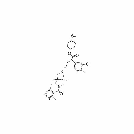 CC(=O)N1CCC(OC(=O)N(CCCN2CC3(C)CN(C(=O)c4c(C)ccnc4C)CC3(C)C2)c2ccc(C)c(Cl)c2)CC1